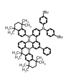 CC(C)(C)c1ccc(N(c2ccc(C(C)(C)C)cc2)c2ccc3c(c2)-c2cc(-c4ccccc4)cc4c2B(c2cccc5c2N4c2cc4c(cc2C5(C)C)C(C)(C)CCC4(C)C)N3c2ccc3c(c2)C(C)(C)CCC3(C)C)cc1